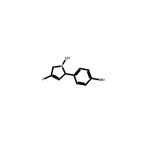 CC(C)(C)c1ccc(C2C=C(F)CN2O)cc1